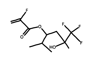 C=C(F)C(=O)OC(CC(C)(O)C(F)(F)F)C(C)C